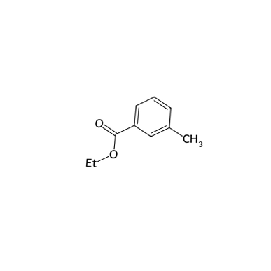 [CH2]COC(=O)c1cccc(C)c1